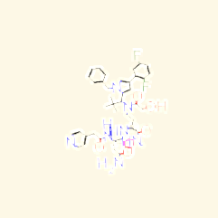 CNC(=O)[C@H](CCN(C(=O)CO)C(c1cc(-c2cc(F)ccc2F)cn1Cc1ccccc1)C(C)(C)C)NC(=O)[C@H](CC(N)=O)NC(=O)Cc1ccncc1